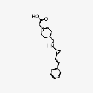 O=C(O)CN1CCC(CNC2CC2/C=C/c2ccccc2)CC1